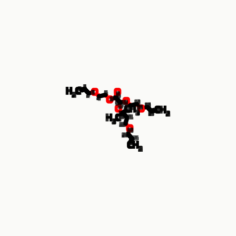 C=CCOCCOC(=O)C(OCCOCC=C)OC(C)(C)CCOCC=C